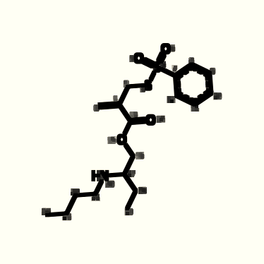 C=C(CSS(=O)(=O)c1ccccc1)C(=O)OCC(CC)NCCCC